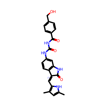 Cc1cc(C)c(/C=C2\C(=O)Nc3cc(NC(=O)NC(=O)c4ccc(CO)cc4)ccc32)[nH]1